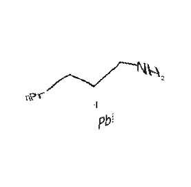 CCCCCCN.[I].[Pb]